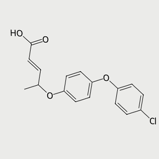 CC(/C=C/C(=O)O)Oc1ccc(Oc2ccc(Cl)cc2)cc1